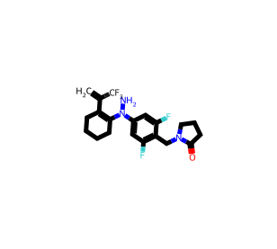 C=C(C1=C(N(N)c2cc(F)c(CN3CCCC3=O)c(F)c2)CCCC1)C(F)(F)F